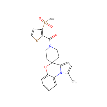 CC(C)(C)S(=O)(=O)c1ccsc1C(=O)N1CCC2(CC1)Oc1ccccc1-n1c(C(F)(F)F)ccc12